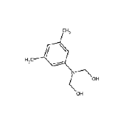 Cc1cc(C)cc(N(CO)CO)c1